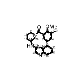 COc1c(F)cccc1C(=O)N1CCCC(Nc2cnc3ccccc3n2)C1